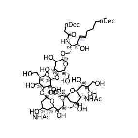 CCCCCCCCCCCCC/C=C/[C@@H](O)[C@H](CO[C@@H]1O[C@H](CO)[C@@H](O[C@@H]2O[C@H](CO)[C@H](O)[C@H](O[C@]3(C(=O)O)C[C@H](O)[C@@H](NC(C)=O)C([C@H](O)[C@@H](CO)O[C@]4(C(=O)O)C[C@H](O)[C@@H](NC(C)=O)C([C@H](O)[C@H](O)CO)O4)O3)[C@H]2O)[C@H](O)C1O)NC(=O)CCCCCCCCCCC